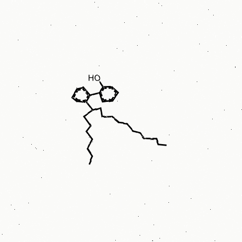 CCCCCCCCCCCC(CCCCCCC)c1ccccc1-c1ccccc1O